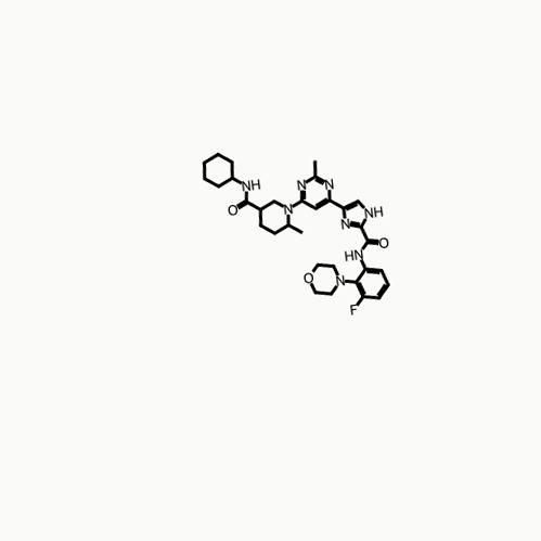 Cc1nc(-c2c[nH]c(C(=O)Nc3cccc(F)c3N3CCOCC3)n2)cc(N2CC(C(=O)NC3CCCCC3)CCC2C)n1